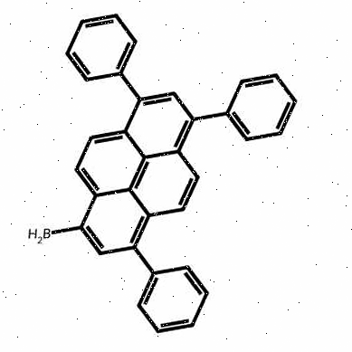 Bc1cc(-c2ccccc2)c2ccc3c(-c4ccccc4)cc(-c4ccccc4)c4ccc1c2c43